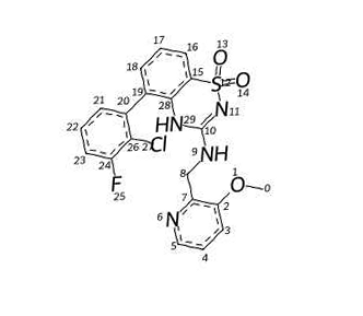 COc1cccnc1CNC1=NS(=O)(=O)c2cccc(-c3cccc(F)c3Cl)c2N1